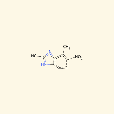 Cc1c([N+](=O)[O-])ccc2[nH]c(C#N)nc12